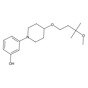 COC(C)(C)CCOC1CCN(c2cccc(O)c2)CC1